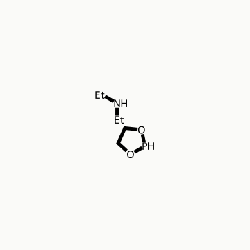 C1COPO1.CCNCC